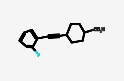 O=C(O)C1CCC(C#Cc2ccccc2F)CC1